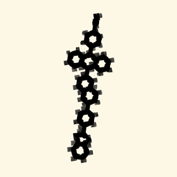 N#Cc1ccc(-c2c3ccccc3c(-c3ccc4cc(-c5ccc(-c6nc7ccccc7s6)cc5)ccc4c3)c3ccccc23)cc1